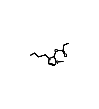 CCCCN1C=CN(C)C1OC(=O)CC